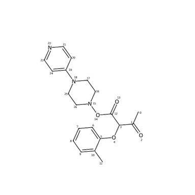 CC(=O)C(Oc1ccccc1C)C(=O)ON1CCN(c2ccncc2)CC1